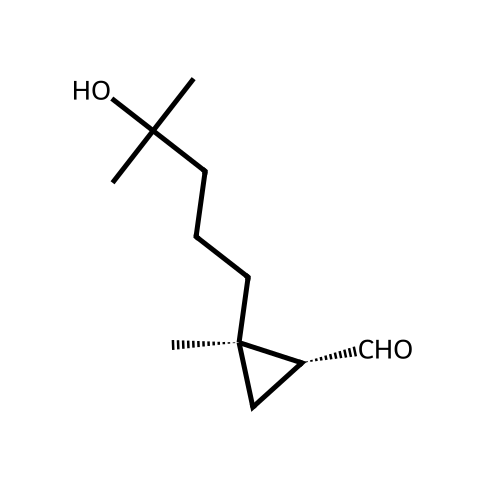 CC(C)(O)CCC[C@]1(C)C[C@H]1C=O